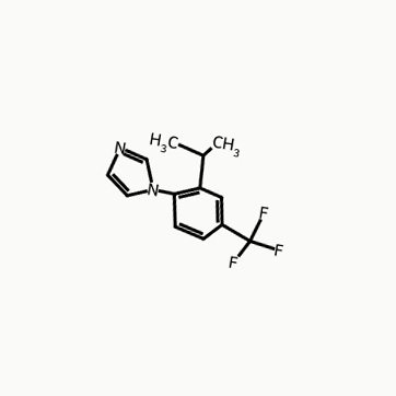 CC(C)c1cc(C(F)(F)F)ccc1-n1ccnc1